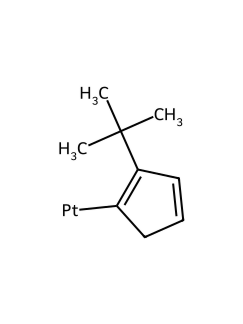 CC(C)(C)C1=[C]([Pt])CC=C1